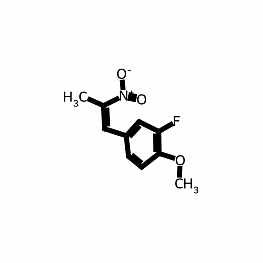 COc1ccc(C=C(C)[N+](=O)[O-])cc1F